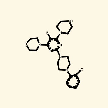 Fc1c(N2CCNCC2)nc(N2CCN(c3ccccc3Cl)CC2)nc1N1CCOCC1